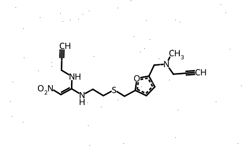 C#CCNC(=C[N+](=O)[O-])NCCSCc1ccc(CN(C)CC#C)o1